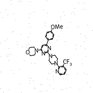 COc1ccc(-c2cc(N3CCOCC3)nc(N3CCN(c4ncccc4C(F)(F)F)CC3)n2)cc1